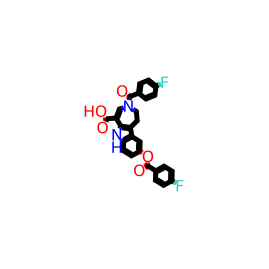 O=C(O)C1=CN(C(=O)c2ccc(F)cc2)CCc2c1[nH]c1ccc(OC(=O)c3ccc(F)cc3)cc21